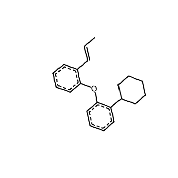 CC=Cc1ccccc1Oc1ccccc1C1CCCCC1